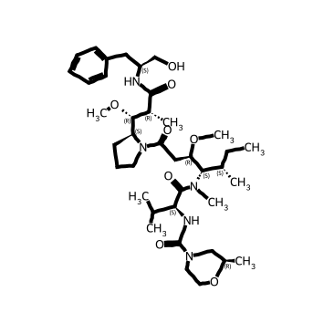 CC[C@H](C)[C@@H]([C@@H](CC(=O)N1CCC[C@H]1[C@H](OC)[C@@H](C)C(=O)N[C@H](CO)Cc1ccccc1)OC)N(C)C(=O)[C@@H](NC(=O)N1CCO[C@H](C)C1)C(C)C